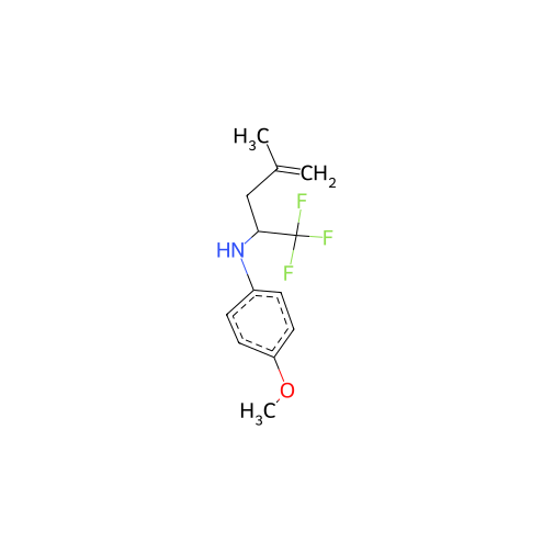 C=C(C)CC(Nc1ccc(OC)cc1)C(F)(F)F